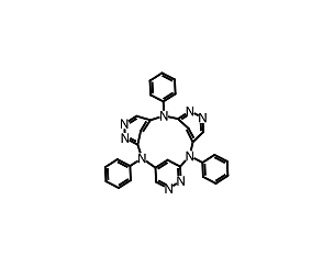 c1ccc(N2c3cnnc(c3)N(c3ccccc3)c3cnnc(c3)N(c3ccccc3)c3cnnc2c3)cc1